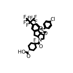 O=C(O)[C@H]1CC[C@](F)(C(=O)N2CCC3(S(=O)(=O)c4ccc(Cl)cc4)c4ccc(C(F)(C(F)(F)F)C(F)(F)F)cc4CC23)CC1